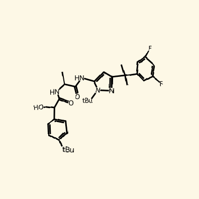 CC(NC(=O)C(O)c1ccc(C(C)(C)C)cc1)C(=O)Nc1cc(C(C)(C)c2cc(F)cc(F)c2)nn1C(C)(C)C